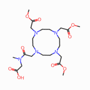 COC(=O)CN1CCN(CC(=O)OC)CCN(CC(=O)N(C)CC(=O)O)CCN(CC(=O)OC)CC1